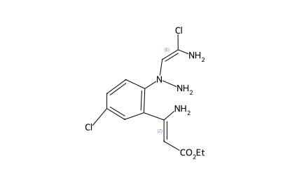 CCOC(=O)/C=C(\N)c1cc(Cl)ccc1N(N)/C=C(\N)Cl